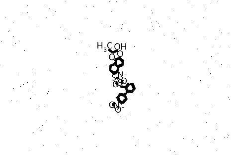 CCC(Oc1cccc2c1CCc1sc(S(=O)(=O)Cc3ccccc3-c3ccc([N+](=O)[O-])cc3)nc1-2)C(=O)O